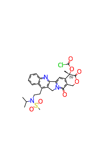 CC(C)N(CCc1c2c(nc3ccccc13)-c1cc3c(c(=O)n1C2)COC(=O)[C@@]3(C)OC(=O)Cl)S(C)(=O)=O